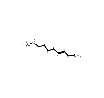 CCC=CCCCCOC